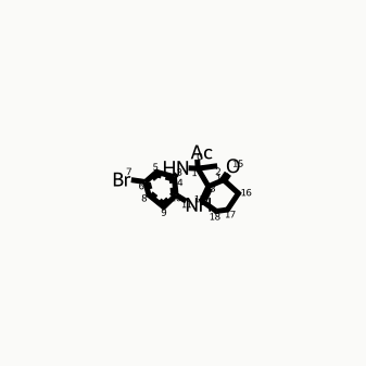 CC(=O)C1(C)Nc2cc(Br)ccc2NC2=C1C(=O)CCC2